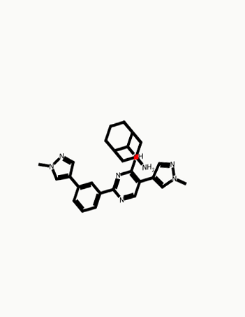 Cn1cc(-c2cccc(-c3ncc(-c4cnn(C)c4)c(NC4C5CCCC4CC(N)C5)n3)c2)cn1